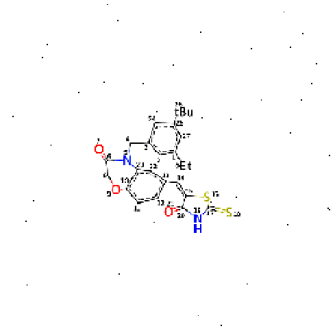 CCc1cc(CN2C(=O)COc3ccc(/C=C4/SC(=S)NC4=O)cc32)cc(C(C)(C)C)c1